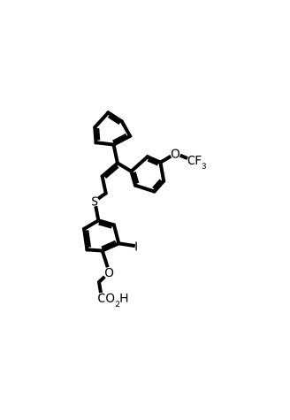 O=C(O)COc1ccc(SCC=C(c2ccccc2)c2cccc(OC(F)(F)F)c2)cc1I